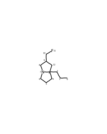 CCCC12CCCN1CC(CF)C2